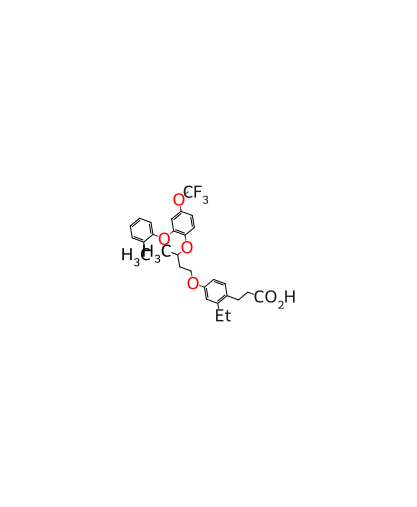 CCc1cc(OCCC(C)Oc2ccc(OC(F)(F)F)cc2Oc2ccccc2C)ccc1CCC(=O)O